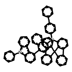 c1ccc(-c2ccc(N(c3cccc4c3C3(c5ccccc5-c5ccccc53)c3ccccc3-4)c3ccc(-c4cccc5c4c4ccccc4n5-c4ccccc4)c4ccccc34)cc2)cc1